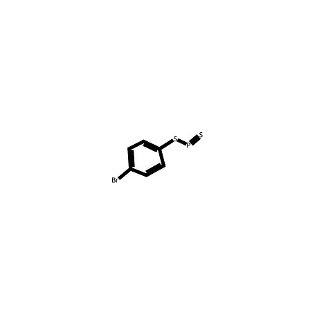 S=PSc1ccc(Br)cc1